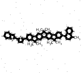 Cc1ccc(-c2ccc3c(c2)C(C)(C)c2cc4c(cc2-3)C(C)(C)c2cc3c(cc2-4)C(C)(C)c2cc(-c4ccc(-c5cc6ccccc6s5)s4)ccc2-3)c2ccccc12